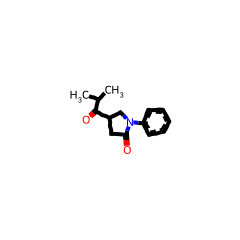 CC(C)C(=O)C1CC(=O)N(c2ccccc2)C1